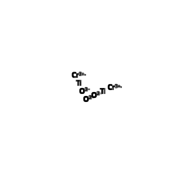 [Cr+3].[Cr+3].[O-2].[O-2].[O-2].[Ti].[Ti]